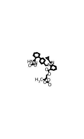 Cc1oc(=O)oc1COC(=O)c1cccc2nc(C3CC3)n(Cc3ccc(-c4ccccc4-c4noc(=O)[nH]4)cc3)c12